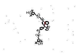 CCN(CCOC(=O)CCc1cc(C(C)(C)C)c(O)c(C(C)(C)C)c1)c1ccc(C(=C2C=CC(=[N+](CC)CCOC(=O)CCc3cc(C(C)(C)C)c(O)c(C(C)(C)C)c3)C=C2)c2c(-c3ccccc3)n(C)c3ccccc23)cc1